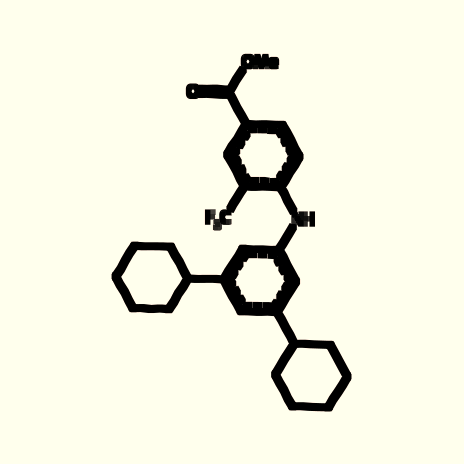 COC(=O)c1ccc(Nc2cc(C3CCCCC3)cc(C3CCCCC3)c2)c(C(F)(F)F)c1